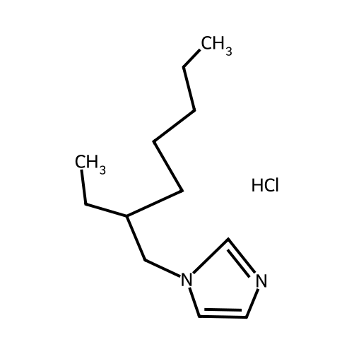 CCCCCC(CC)Cn1ccnc1.Cl